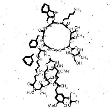 CCC(=O)N(C)c1cc(C/C(C)=C/C=C/[C@@H](OC)[C@@]2(O)C[C@@H]([C@@H](C)[C@@H]3O[C@@]3(C)[C@H](C)OC(=O)[C@H](C)N(C)C(=O)CCSCCCN[C@H](Cc3ccccc3)C(=O)N[C@H]3CSSC[C@@H](C(=O)N[C@H](CO)[C@@H](C)O)NC(=O)[C@H]([C@@H](C)O)NC(=O)[C@H](CCCCN)NC(=O)[C@@H](Cc4c[nH]c5ccccc45)NC(=O)[C@H](Cc4ccccc4)NC3=O)OC(=O)N2)cc(OC)c1Cl